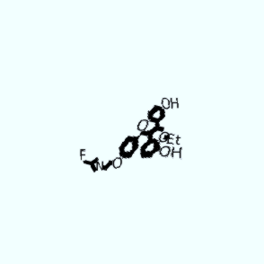 CCOc1c(O)cccc1C1=C(C)c2cc(O)ccc2O[C@@H]1c1ccc(OCCN2CC(CF)C2)cc1